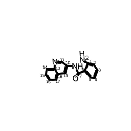 Nc1ccccc1C(=O)Nc1cnc2ccccc2c1